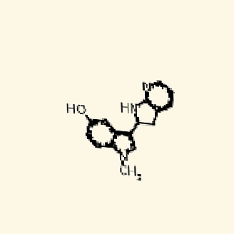 Cn1cc(C2Cc3cccnc3N2)c2cc(O)ccc21